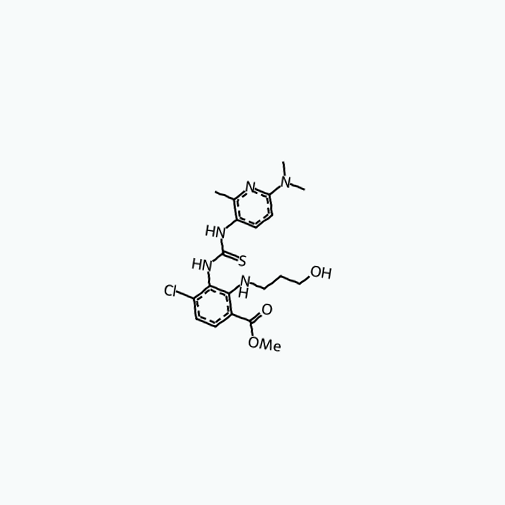 COC(=O)c1ccc(Cl)c(NC(=S)Nc2ccc(N(C)C)nc2C)c1NCCCO